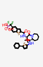 CC(C)(C)[C@H](NC(=O)c1cc2cc(C(F)(F)P(=O)(O)O)ccc2s1)C(=O)N1CCCCC[C@H]1C(=O)Nc1ccc(-c2ccccc2)s1